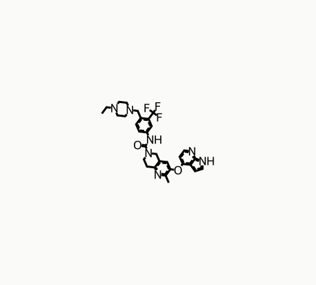 CCN1CCN(Cc2ccc(NC(=O)N3CCc4nc(C)c(Oc5ccnc6[nH]ccc56)cc4C3)cc2C(F)(F)F)CC1